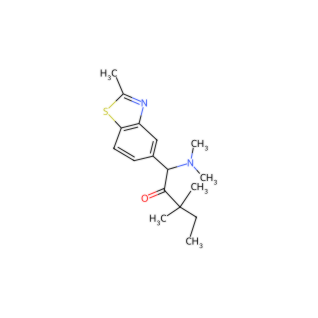 CCC(C)(C)C(=O)C(c1ccc2sc(C)nc2c1)N(C)C